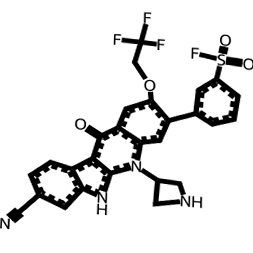 N#Cc1ccc2c(c1)[nH]c1c2c(=O)c2cc(OCC(F)(F)F)c(-c3cccc(S(=O)(=O)F)c3)cc2n1C1CNC1